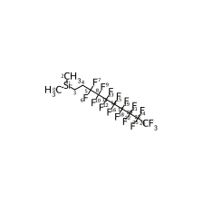 C[Si](C)CCC(F)(F)C(F)(F)C(F)(F)C(F)(F)C(F)(F)C(F)(F)C(F)(F)C(F)(F)F